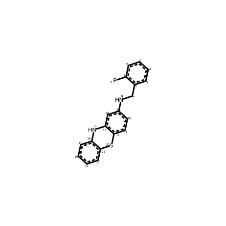 Fc1ccccc1CNc1ccc2c(c1)Nc1ccccc1S2